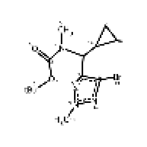 CN(C(=O)OC(C)(C)C)C(c1nn(C)nc1Br)C1CC1